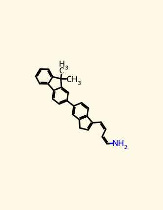 CC1(C)c2ccccc2-c2ccc(-c3ccc4c(c3)CC=C4/C=C\C=C/N)cc21